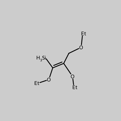 CCOCC(OCC)=C([SiH3])OCC